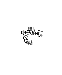 Cl.Cl.NC(CCCCB(O)O)(CCN1CCCC1c1cc2ccccc2o1)C(=O)O